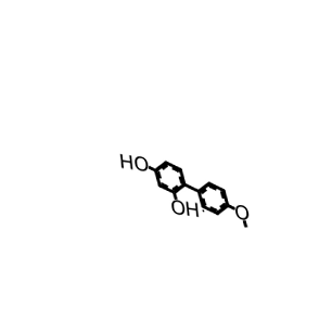 COc1c[c]c(-c2ccc(O)cc2O)cc1